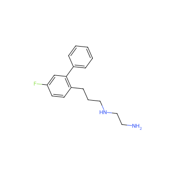 NCCNCCCc1ccc(F)cc1-c1ccccc1